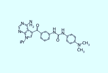 CC(C)n1cc(C(=O)c2cccc(NC(=O)Nc3ccc(N(C)C)cc3)c2)c2c(N)ncnc21